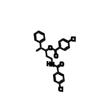 CC(c1ccccc1)C(CCNC(=O)c1ccc(Cl)cc1)OC(=O)c1ccc(Cl)cc1